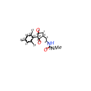 CNC(=O)NCCC1CC(=O)C(c2c(C)cc(C)cc2C)C1=O